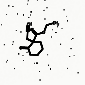 C#CCC1(C(=O)OCC)CCCCC1=O